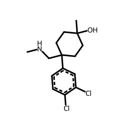 CNCC1(c2ccc(Cl)c(Cl)c2)CCC(C)(O)CC1